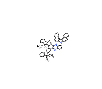 CC1(C)c2ccccc2-c2ccc(-c3nc4cccc(-n5c6ccc7ccccc7c6c6c7ccccc7ccc65)c4nc3-c3ccc4c(c3)C(C)(C)c3ccccc3-4)cc21